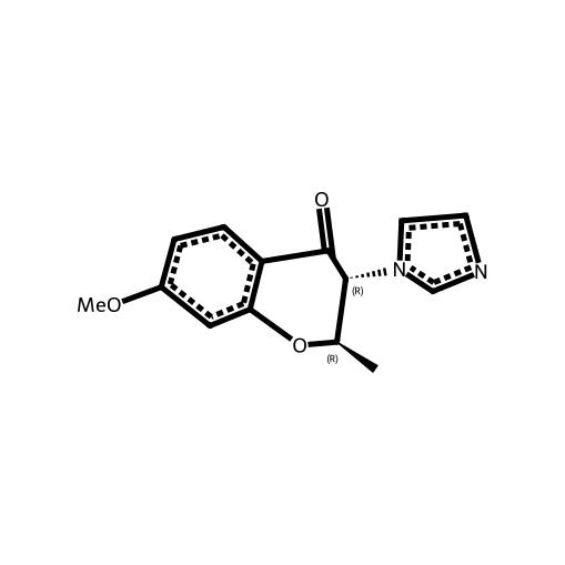 COc1ccc2c(c1)O[C@H](C)[C@@H](n1ccnc1)C2=O